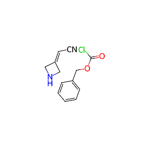 N#CC=C1CNC1.O=C(Cl)OCc1ccccc1